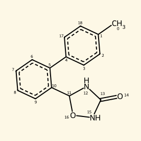 Cc1ccc(-c2ccccc2C2NC(=O)NO2)cc1